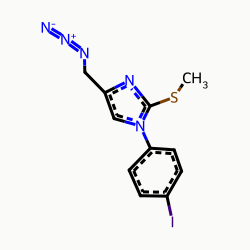 CSc1nc(CN=[N+]=[N-])cn1-c1ccc(I)cc1